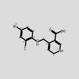 O=NC(=O)C1=CNCC=C1CNc1ccc(Br)cc1F